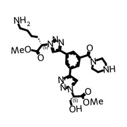 COC(=O)[C@H](CO)n1cc(-c2cc(C(=O)N3CCNCC3)cc(-c3cn([C@@H](CCCCN)C(=O)OC)nn3)c2)nn1